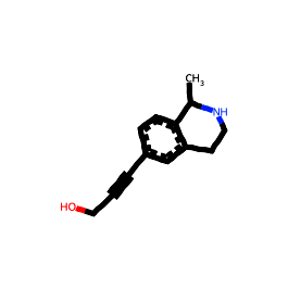 CC1NCCc2cc(C#CCO)ccc21